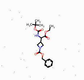 CCOC(=O)C(NC(=O)OC(C)(C)C)C1CN(C(=O)OCc2ccccc2)C1